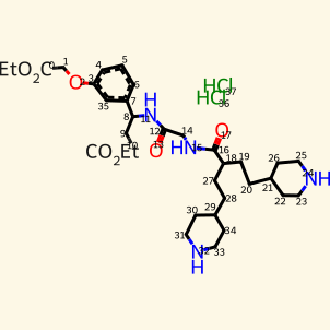 CCOC(=O)COc1cccc(C(CC(=O)OCC)NC(=O)CNC(=O)C(CCC2CCNCC2)CCC2CCNCC2)c1.Cl.Cl